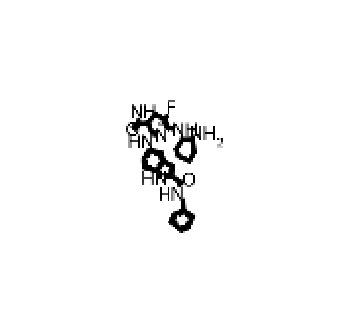 NC(=O)C1CC(F)=C(N[C@@H]2CCCC[C@@H]2N)N=C1Nc1ccc2[nH]c(C(=O)NCc3ccccc3)cc2c1